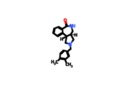 Cc1ccc(CN2C[C@@H]3CNC(=O)c4ccccc4[C@H]3C2)cc1C